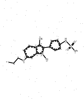 CCCS(=O)(=O)Nc1ccc(-c2c(C#N)c3ccc(OCCI)cc3n2CC)cc1